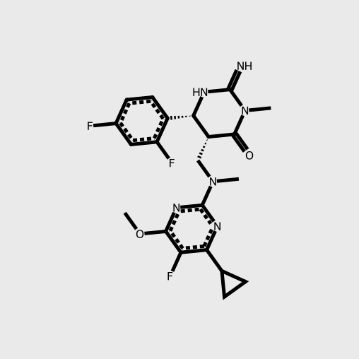 COc1nc(N(C)C[C@H]2C(=O)N(C)C(=N)N[C@H]2c2ccc(F)cc2F)nc(C2CC2)c1F